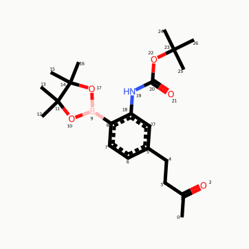 CC(=O)CCc1ccc(B2OC(C)(C)C(C)(C)O2)c(NC(=O)OC(C)(C)C)c1